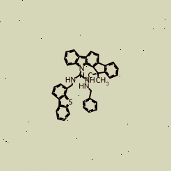 CC1(C)c2ccccc2-c2ccc3c4ccccc4n(C(NCc4cccc5c4sc4ccccc45)NNCc4ccccc4)c3c21